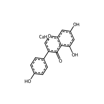 O=c1c(-c2ccc(O)cc2)coc2cc(O)cc(O)c12.[CaH2]